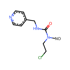 O=NN(CCCl)C(=O)NCc1ccncc1